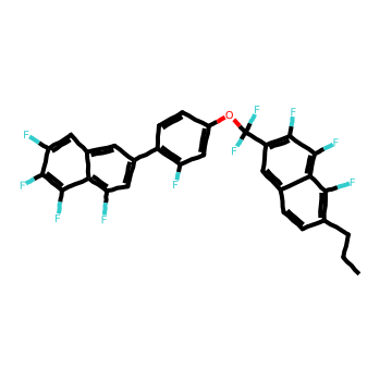 CCCc1ccc2cc(C(F)(F)Oc3ccc(-c4cc(F)c5c(F)c(F)c(F)cc5c4)c(F)c3)c(F)c(F)c2c1F